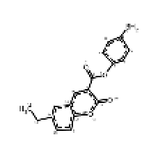 Bc1ccc(OC(=O)c2cc3cc(CC)ccc3oc2=O)cc1